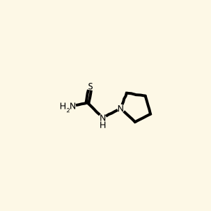 NC(=S)NN1CCCC1